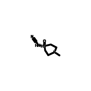 CN1CC[SH](=O)(NC#N)CC1